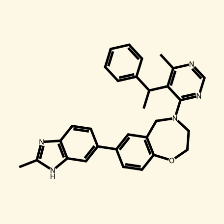 Cc1nc2ccc(-c3ccc4c(c3)CN(c3ncnc(C)c3C(C)c3ccccc3)CCO4)cc2[nH]1